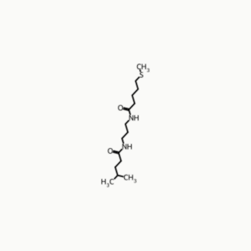 CSCCCCC(=O)NCCCNC(=O)CCC(C)C